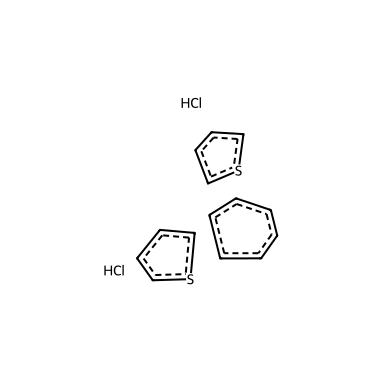 Cl.Cl.c1ccccc1.c1ccsc1.c1ccsc1